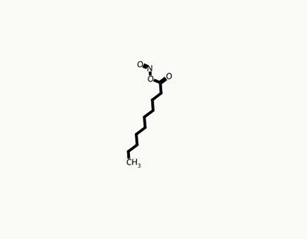 CCCCCCCCCC(=O)ON=O